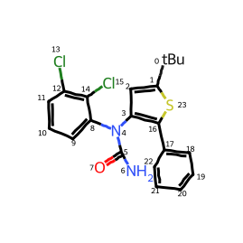 CC(C)(C)c1cc(N(C(N)=O)c2cccc(Cl)c2Cl)c(-c2ccccc2)s1